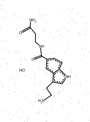 Cl.NCCc1c[nH]c2ccc(C(=O)NCCC(N)=O)cc12